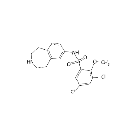 COc1c(Cl)cc(Cl)cc1S(=O)(=O)Nc1ccc2c(c1)CCNCC2